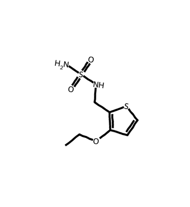 CCOc1ccsc1CNS(N)(=O)=O